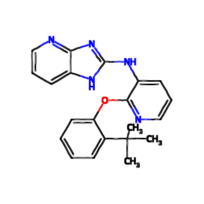 CC(C)(C)c1ccccc1Oc1ncccc1Nc1nc2ncccc2[nH]1